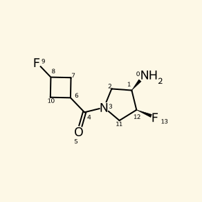 N[C@@H]1CN(C(=O)C2CC(F)C2)C[C@@H]1F